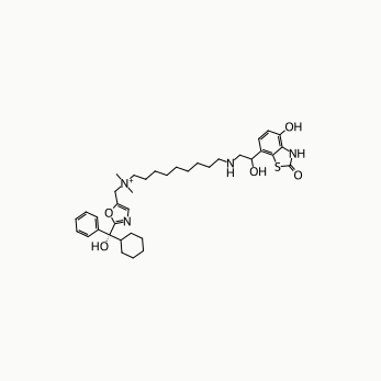 C[N+](C)(CCCCCCCCCNCC(O)c1ccc(O)c2[nH]c(=O)sc12)Cc1cnc([C@](O)(c2ccccc2)C2CCCCC2)o1